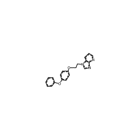 c1ccc(Oc2ccc(OCCn3cnc4ncccc43)cc2)cc1